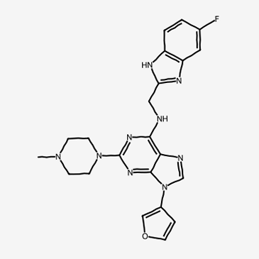 CN1CCN(c2nc(NCc3nc4cc(F)ccc4[nH]3)c3ncn(-c4ccoc4)c3n2)CC1